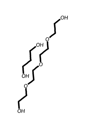 OCCCO.OCCOCCOCCOCCO